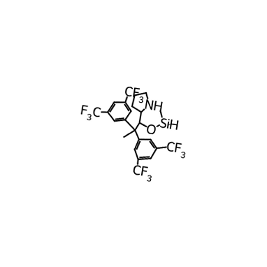 C[SiH](C)OC(C1CCCN1)C(C)(c1cc(C(F)(F)F)cc(C(F)(F)F)c1)c1cc(C(F)(F)F)cc(C(F)(F)F)c1